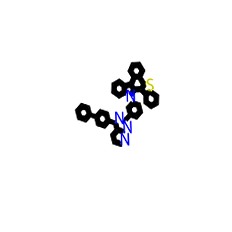 c1ccc(-c2ccc(-c3nc(-c4cccc(-n5c6ccccc6c6c7ccccc7c7sc8ccccc8c7c65)c4)nc4ncccc34)cc2)cc1